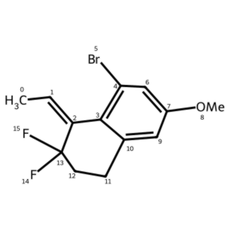 CC=C1c2c(Br)cc(OC)cc2CCC1(F)F